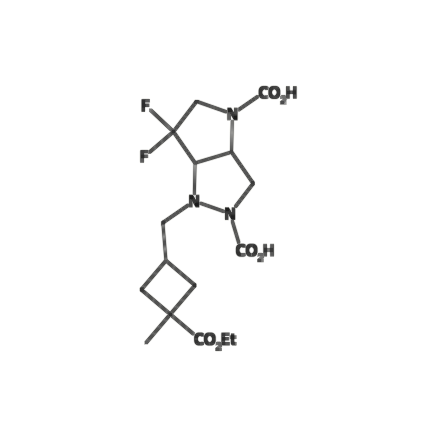 CCOC(=O)C1(C)CC(CN2C3C(CN2C(=O)O)N(C(=O)O)CC3(F)F)C1